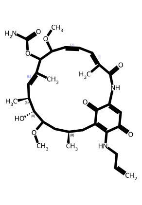 C=CCNC1=C2C[C@@H](C)CC(OC)[C@H](O)[C@@H](C)/C=C(\C)C(OC(N)=O)C(OC)/C=C\C=C(/C)C(=O)NC(=CC1=O)C2=O